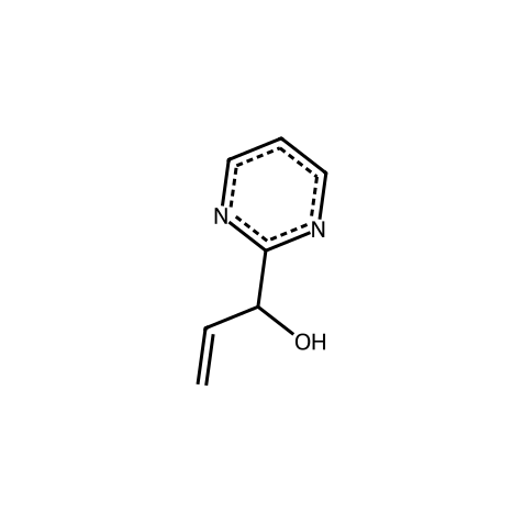 C=CC(O)c1ncccn1